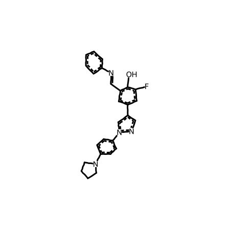 Oc1c(F)cc(-c2cnn(-c3ccc(N4CCCC4)cc3)c2)cc1C=Nc1ccccc1